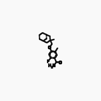 Cc1cc(C(N)=O)c(F)cc1OCC1(C)CC2CCCC(C2)C1